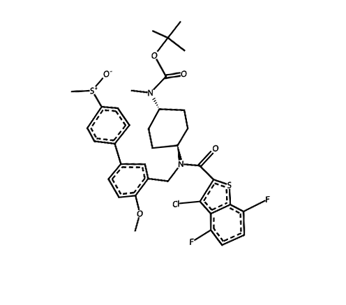 COc1ccc(-c2ccc([S+](C)[O-])cc2)cc1CN(C(=O)c1sc2c(F)ccc(F)c2c1Cl)[C@H]1CC[C@H](N(C)C(=O)OC(C)(C)C)CC1